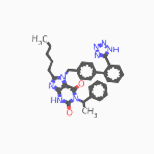 CCCCCc1nc2[nH]c(=O)n(C(C)c3ccccc3)c(=O)c2n1Cc1ccc(-c2ccccc2-c2nnn[nH]2)cc1